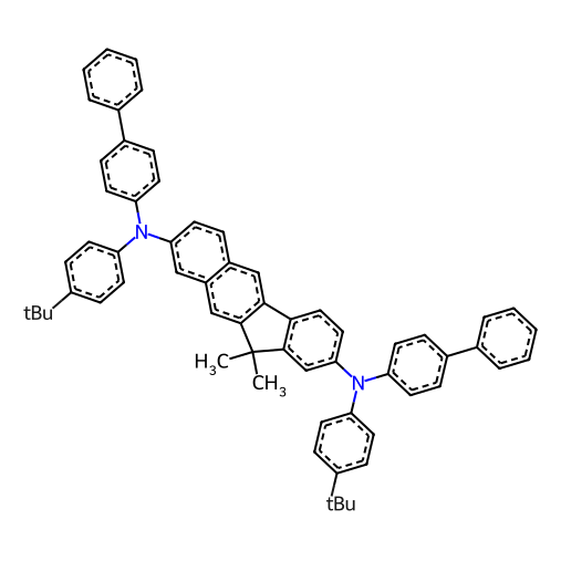 CC(C)(C)c1ccc(N(c2ccc(-c3ccccc3)cc2)c2ccc3c(c2)C(C)(C)c2cc4cc(N(c5ccc(-c6ccccc6)cc5)c5ccc(C(C)(C)C)cc5)ccc4cc2-3)cc1